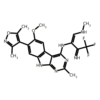 CN/C=C(/Nc1nc(C)nc2[nH]c3cc(-c4c(C)noc4C)c(OC)cc3c12)C(=N)C(F)(F)F